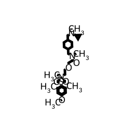 COc1cc(C)c(S(=O)(=O)N(C)CCOCC(=O)N(C)CC2CCC(CN(C)C3CC3)CC2)c(C)c1